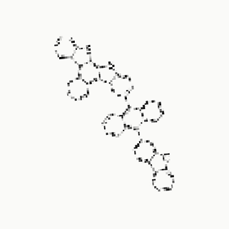 c1ccc2c(c1)oc1cc(-c3c4ccccc4c(-c4ccc5sc6c7sc8ccccc8c7c7ccccc7c6c5c4)c4ccccc34)ccc12